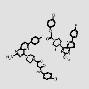 C[C@H]1CN(C(=O)COc2ccc(Cl)cc2)CCN1c1nc(N)nc2ccc(-c3ccc(F)cc3)nc12.Nc1nc(N2CCN(C(=O)CC(=O)Nc3ccc(Cl)cc3)CC2)c2nc(-c3ccc(F)cc3)ccc2n1